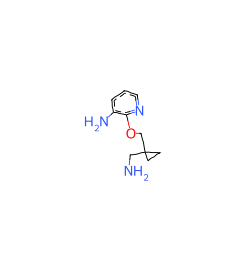 NCC1(COc2ncccc2N)CC1